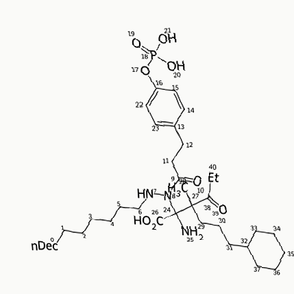 CCCCCCCCCCCCCCCCNN(C(=O)CCc1ccc(OP(=O)(O)O)cc1)C(N)(C(=O)O)C(C)(CCCC1CCCCC1)C(=O)CC